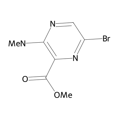 CNc1ncc(Br)nc1C(=O)OC